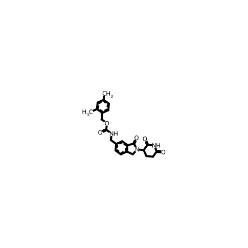 Cc1ccc(COC(=O)NCc2ccc3c(c2)C(=O)N(C2CCC(=O)NC2=O)C3)c(C)c1